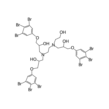 OCCN(CCN(CC(O)COc1cc(Br)c(Br)c(Br)c1)CC(O)COc1cc(Br)c(Br)c(Br)c1)CC(O)COc1cc(Br)c(Br)c(Br)c1